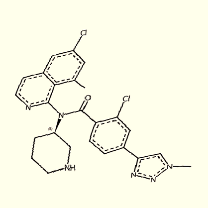 Cc1cc(Cl)cc2ccnc(N(C(=O)c3ccc(-c4cn(C)nn4)cc3Cl)[C@@H]3CCCNC3)c12